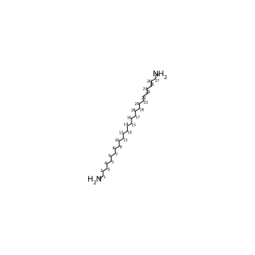 NCCCCCCCCCCCCCCCCCCCCCCCCCCCN